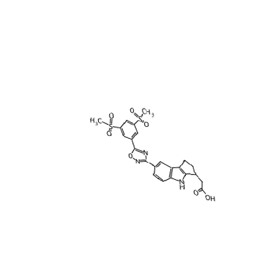 CS(=O)(=O)c1cc(-c2nc(-c3ccc4[nH]c5c(c4c3)CCC5CC(=O)O)no2)cc(S(C)(=O)=O)c1